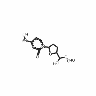 O=COC(O)C1CCC(n2ccc(NO)nc2=O)O1